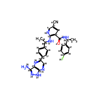 C[C@H](NC(=O)c1cc(C#N)cnc1N[C@H](C)c1ccc(-c2cnc3[nH]nc(N)c3n2)cc1)c1ccc(F)cc1